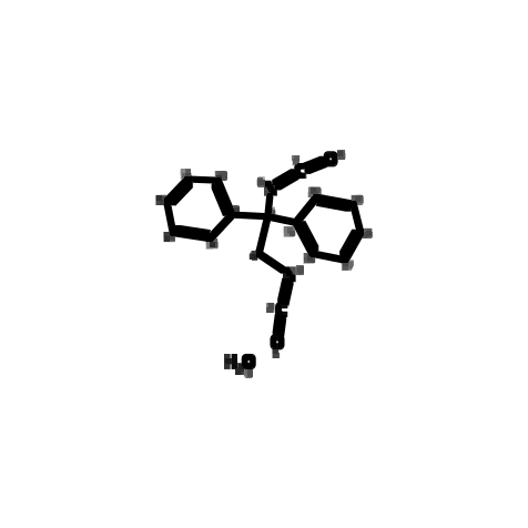 O.O=C=NCC(N=C=O)(c1ccccc1)c1ccccc1